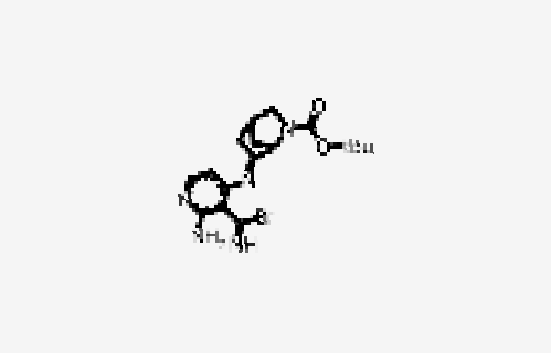 CC(C)(C)OC(=O)N1CC2C/C(=N\c3ccnc(N)c3C(=N)Br)C1C2